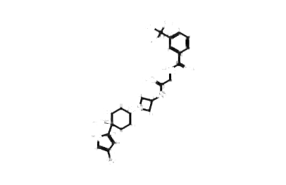 O=C(CNC(=O)c1cccc(C(F)(F)F)c1)NC1CN([C@H]2CC[C@@](O)(c3cc(Br)cs3)CC2)C1